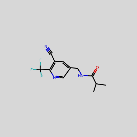 CC(C)C(=O)NCc1cnc(C(F)(F)F)c(C#N)c1